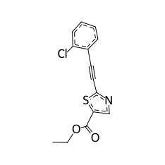 CCOC(=O)c1cnc(C#Cc2ccccc2Cl)s1